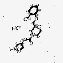 Cl.O=C(Nc1cn[nH]c1)N1CCOC(COc2ccccc2Cl)C1